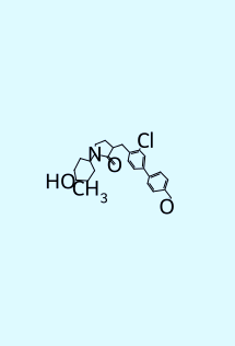 CC1(O)CCC(N2CCC(Cc3ccc(-c4ccc(C=O)cc4)cc3Cl)C2=O)CC1